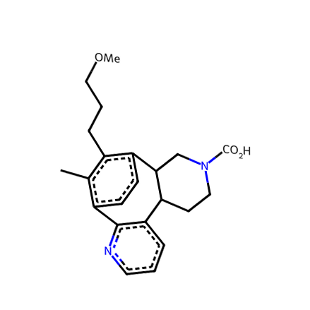 COCCCc1c2ccc(c1C)-c1ncccc1C1CCN(C(=O)O)CC21